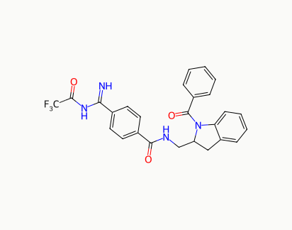 N=C(NC(=O)C(F)(F)F)c1ccc(C(=O)NCC2Cc3ccccc3N2C(=O)c2ccccc2)cc1